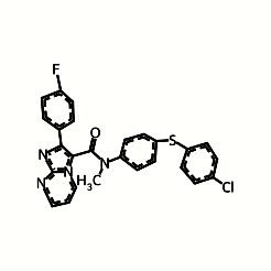 CN(C(=O)c1c(-c2ccc(F)cc2)nc2ncccn12)c1ccc(Sc2ccc(Cl)cc2)cc1